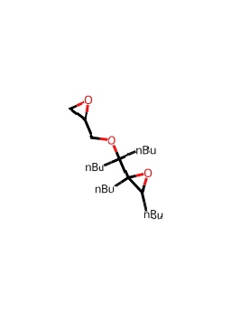 CCCCC1OC1(CCCC)C(CCCC)(CCCC)OCC1CO1